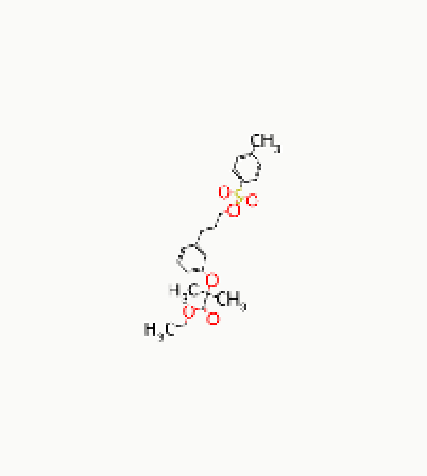 CCOC(=O)C(C)(C)Oc1cccc(CCCOS(=O)(=O)c2ccc(C)cc2)c1